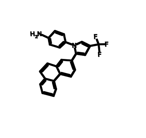 Nc1ccc(-n2cc(C(F)(F)F)cc2-c2ccc3c(ccc4ccccc43)c2)cc1